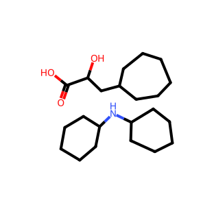 C1CCC(NC2CCCCC2)CC1.O=C(O)C(O)CC1CCCCCC1